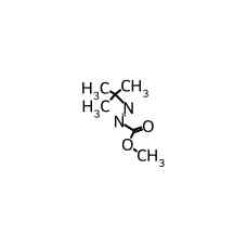 COC(=O)N=NC(C)(C)C